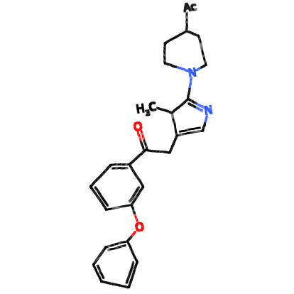 CC(=O)C1CCN(C2=NC=C(CC(=O)c3cccc(Oc4ccccc4)c3)C2C)CC1